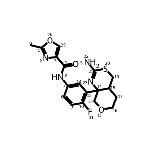 Cc1nc(C(=O)Nc2ccc(F)c(C34COCCC3CSC(N)=N4)c2)co1